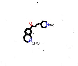 CC(=O)N1CCC(CCC(=O)c2ccc3c(c2)CN(C=O)CCC3)CC1